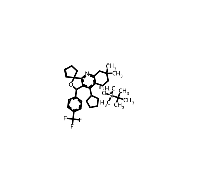 CC1(C)Cc2nc3c(c(C4CCCC4)c2[C@@H](O[Si](C)(C)C(C)(C)C)C1)C(c1ccc(C(F)(F)F)cc1)OC31CCCC1